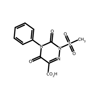 CS(=O)(=O)n1nc(C(=O)O)c(=O)n(-c2ccccc2)c1=O